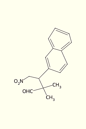 CC(C)(C=O)C(C[N+](=O)[O-])c1ccc2ccccc2c1